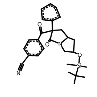 CC(C)(C)[Si](C)(C)OC1CC2CC(C(=O)c3ccc(C#N)cc3)(c3ccccc3)C(=O)N2C1